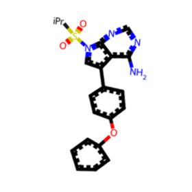 CC(C)S(=O)(=O)n1cc(-c2ccc(Oc3ccccc3)cc2)c2c(N)ncnc21